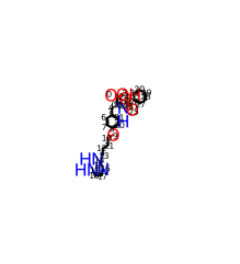 O=C(O)[C@H](Cc1ccc(OCCCCNC2N=CCN2)cc1)NS(=O)(=O)c1ccccc1